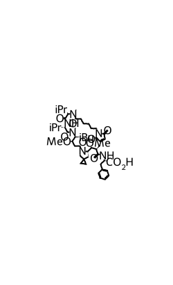 CC[C@H](C)[C@@H]([C@@H](CC(=O)N1CC2(CC2)C[C@H]1[C@H](OC)[C@@H](C)C(=O)N[C@@H](Cc1ccccc1)C(=O)O)OC)N(C)C(=O)[C@@H](NC(=O)[C@H](C(C)C)N(C)C(=O)CCCCCN1C(=O)C=CC1=O)C(C)C